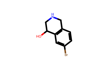 OC1CNCc2ccc(Br)cc21